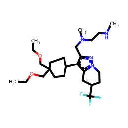 CCOCC1(COCC)CCC(c2c(CN(C)CCNC)nn3c2CC(C(F)(F)F)CC3)CC1